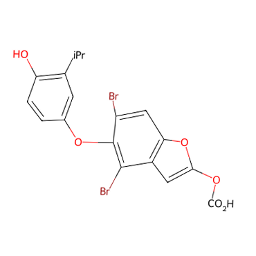 CC(C)c1cc(Oc2c(Br)cc3oc(OC(=O)O)cc3c2Br)ccc1O